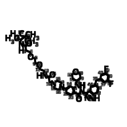 C[C@H](NC(=O)CCOCCOCCNC(=O)CN1CCN(c2ccc(C(=O)Nc3n[nH]c4ccc(Cc5cc(F)cc(F)c5)cc34)c(NC3CCOCC3)c2)CC1)C(C)(C)C